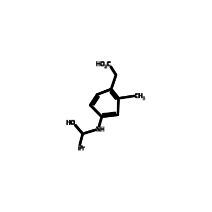 Cc1cc(NC(O)C(C)C)ccc1CC(=O)O